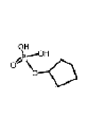 O=P(O)(O)OC1[CH]CCC1